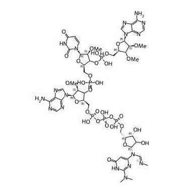 C/N=C/N(c1cc(=O)[nH]c(N(C)C)n1)[C@@H]1O[C@H](COP(=O)(O)OP(=O)(O)OP(=O)(O)OC[C@H]2O[C@@H](n3cnc4c(N)ncnc43)[C@@H](OC)C2O[PH](O)(O)OC[C@H]2O[C@@H](n3ccc(=O)[nH]c3=O)[C@@H](OC)C2O[PH](O)(O)OC[C@H]2O[C@@H](n3cnc4c(N)ncnc43)[C@@H](OC)C2OC)[C@H](O)C1O